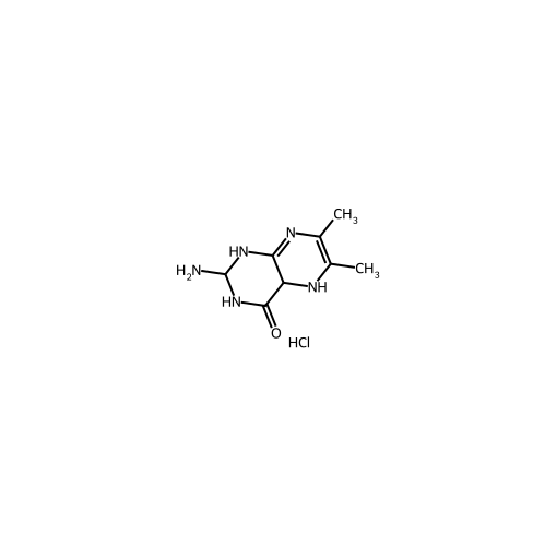 CC1=C(C)NC2C(=O)NC(N)NC2=N1.Cl